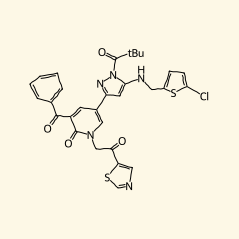 CC(C)(C)C(=O)n1nc(-c2cc(C(=O)c3ccccc3)c(=O)n(CC(=O)c3cncs3)c2)cc1NCc1ccc(Cl)s1